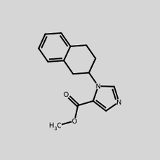 COC(=O)c1cncn1C1CCc2ccccc2C1